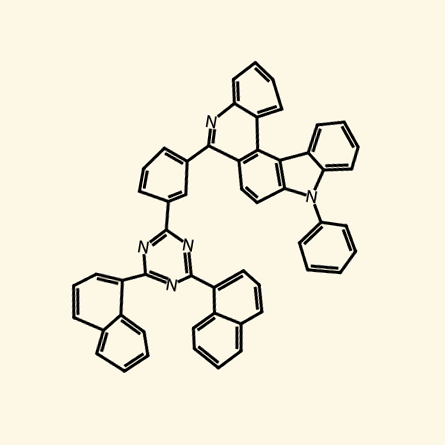 c1ccc(-n2c3ccccc3c3c4c(ccc32)c(-c2cccc(-c3nc(-c5cccc6ccccc56)nc(-c5cccc6ccccc56)n3)c2)nc2ccccc24)cc1